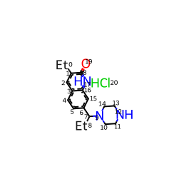 CCc1cc2ccc(C(CC)N3CCNCC3)cc2[nH]c1=O.Cl